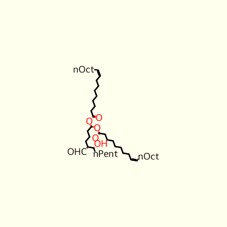 CCCCCCCC/C=C\CCCCCCCC(=O)OC(CCCC(C=O)C(O)CCCCC)OC(=O)CCCCCCC/C=C\CCCCCCCC